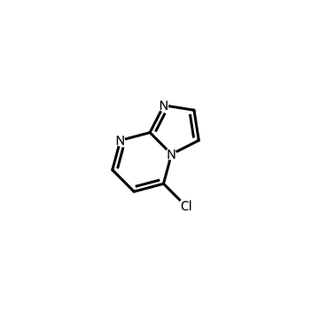 Clc1ccnc2nccn12